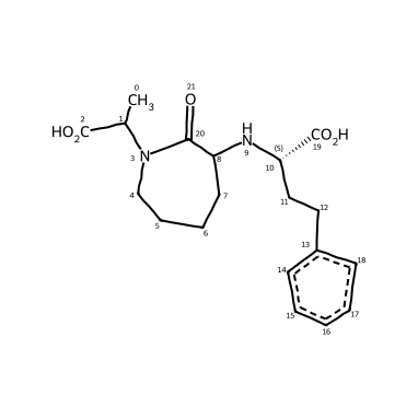 CC(C(=O)O)N1CCCCC(N[C@@H](CCc2ccccc2)C(=O)O)C1=O